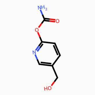 NC(=O)Oc1ccc(CO)cn1